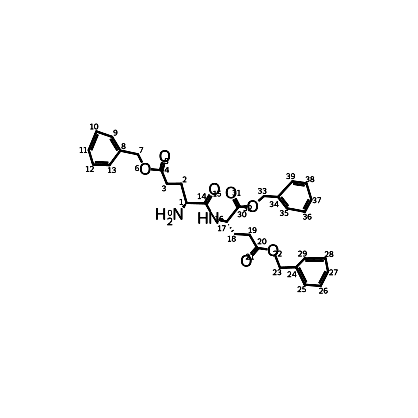 N[C@@H](CCC(=O)OCc1ccccc1)C(=O)N[C@@H](CCC(=O)OCc1ccccc1)C(=O)OCc1ccccc1